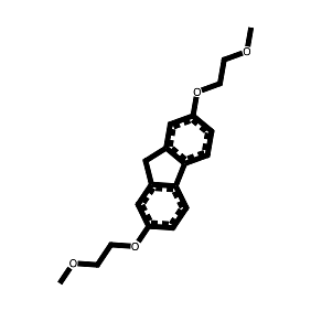 COCCOc1ccc2c(c1)Cc1cc(OCCOC)ccc1-2